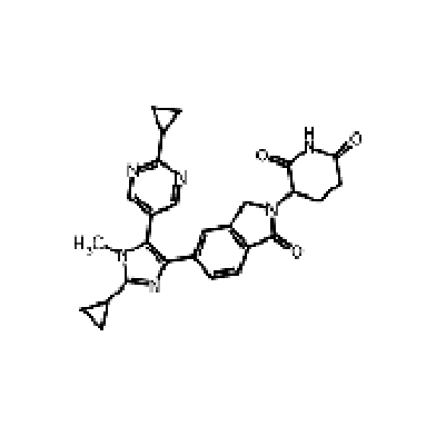 Cn1c(C2CC2)nc(-c2ccc3c(c2)CN(C2CCC(=O)NC2=O)C3=O)c1-c1cnc(C2CC2)nc1